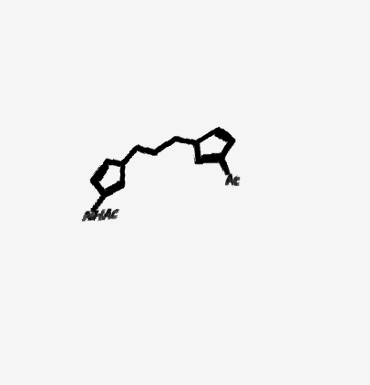 CC(=O)NC1=CC(CCCC2C=CC(C(C)=O)=C2)C=C1